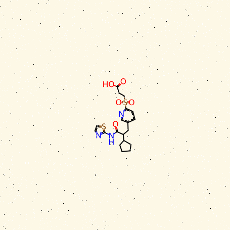 O=C(O)CCS(=O)(=O)c1ccc(CC(C(=O)Nc2nccs2)C2CCCC2)cn1